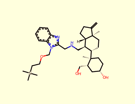 C=C1CC[C@H]2[C@H](CNCc3nc4ccccc4n3COCC[Si](C)(C)C)[C@@H]([C@@]3(C)CC[C@H](O)C[C@@H]3CO)CC[C@]12C